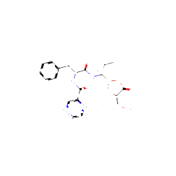 CC(C)C[C@H](NC(=O)C(Cc1ccccc1)NC(=O)c1cnccn1)B1OC(=O)C([C@H](O)C(=O)O)O1